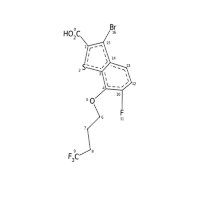 O=C(O)c1sc2c(OCCCC(F)(F)F)c(F)ccc2c1Br